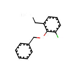 O=C(O)Cc1cccc(Cl)c1OCc1ccccc1